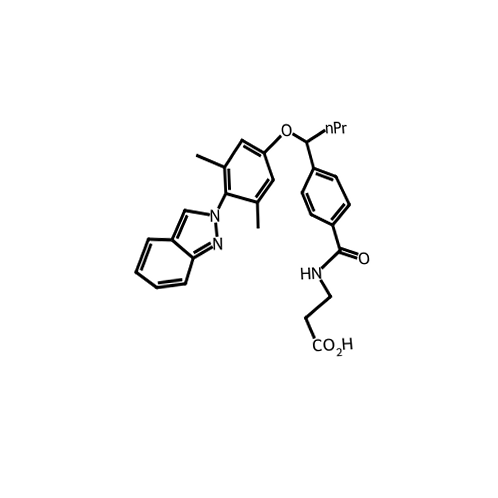 CCCC(Oc1cc(C)c(-n2cc3ccccc3n2)c(C)c1)c1ccc(C(=O)NCCC(=O)O)cc1